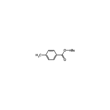 [CH2]c1ccc(C(=O)OCCCC)cc1